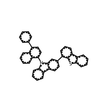 c1ccc(-c2ccc(-n3c4ccccc4c4ccc(-c5cccc6c5sc5ccccc56)cc43)c3ccccc23)cc1